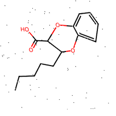 CCCCCC1Oc2ccccc2OC1C(=O)O